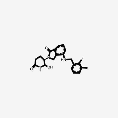 Cc1cccc(CNc2cccc3c2CN([C@@H]2CCC(=O)NC2O)C3=O)c1F